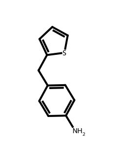 Nc1ccc(Cc2cccs2)cc1